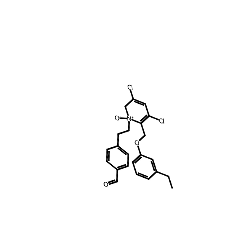 CCc1cccc(OCC2=C(Cl)C=C(Cl)C[N+]2([O-])CCc2ccc(C=O)cc2)c1